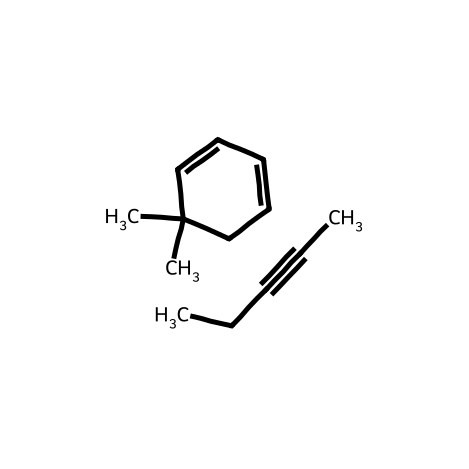 CC#CCC.CC1(C)C=CC=CC1